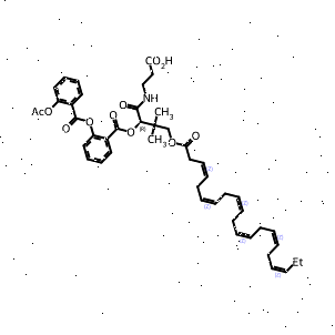 CC/C=C\C/C=C\C/C=C\C/C=C\C/C=C\C/C=C\CC(=O)OCC(C)(C)[C@@H](OC(=O)c1ccccc1OC(=O)c1ccccc1OC(C)=O)C(=O)NCCC(=O)O